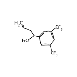 C=CCC(O)c1cc(C(F)(F)F)cc(C(F)(F)F)c1